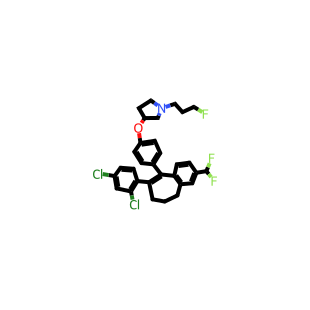 FCCCN1CCC(Oc2ccc(C3=C(c4ccc(Cl)cc4Cl)CCCc4cc(C(F)F)ccc43)cc2)C1